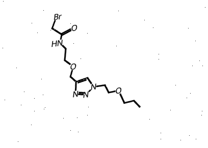 CCCOCCn1cc(COCCNC(=O)CBr)nn1